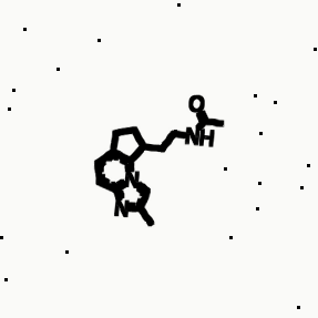 CC(=O)NCCC1CCc2ccc3nc(C)cn3c21